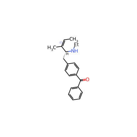 C/C=C(/C)[C@@H](Cc1ccc(C(=O)c2ccccc2)cc1)NCC